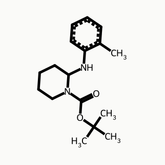 Cc1ccccc1NC1CCCCN1C(=O)OC(C)(C)C